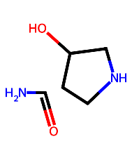 NC=O.OC1CCNC1